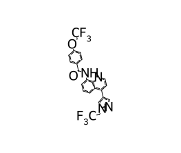 O=C(Nc1cccc2c(-c3cnn(CC(F)(F)F)c3)ccnc12)c1ccc(OCC(F)(F)F)cc1